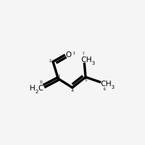 C=C(C=O)C=C(C)C